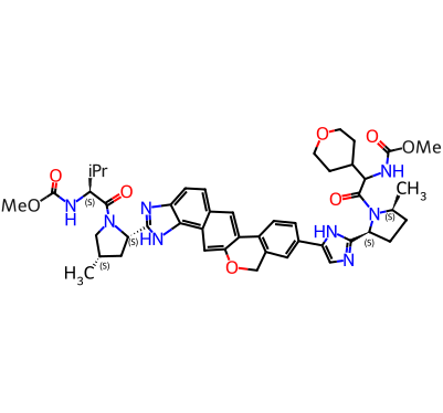 COC(=O)NC(C(=O)N1[C@@H](C)CC[C@H]1c1ncc(-c2ccc3c(c2)COc2cc4c(ccc5nc([C@@H]6C[C@H](C)CN6C(=O)[C@@H](NC(=O)OC)C(C)C)[nH]c54)cc2-3)[nH]1)C1CCOCC1